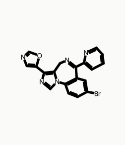 Brc1ccc2c(c1)C(c1ccccn1)=NCc1c(-c3cnco3)ncn1-2